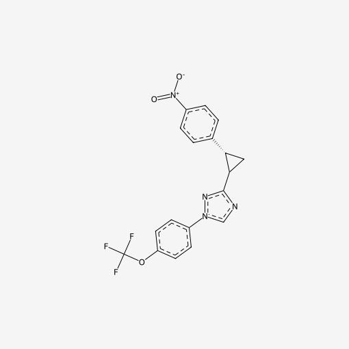 O=[N+]([O-])c1ccc([C@@H]2CC2c2ncn(-c3ccc(OC(F)(F)F)cc3)n2)cc1